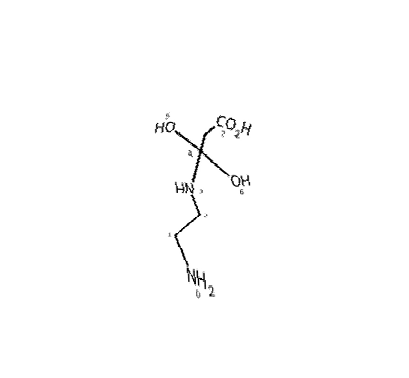 NCCNC(O)(O)C(=O)O